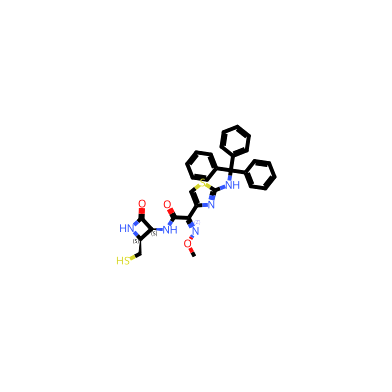 CO/N=C(\C(=O)N[C@@H]1C(=O)N[C@@H]1CS)c1csc(NC(c2ccccc2)(c2ccccc2)c2ccccc2)n1